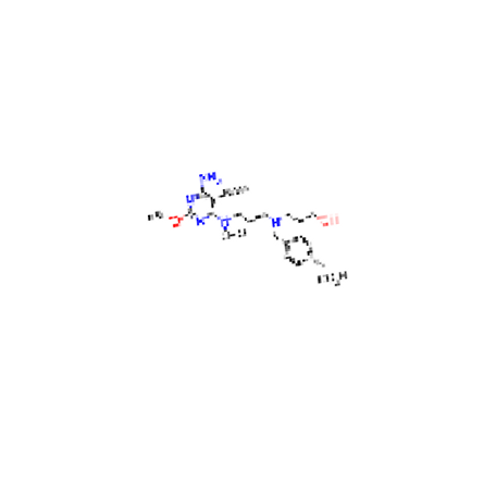 CCCCOc1nc(N)c(NC)c(N(C=O)CCCN(CCCO)Cc2ccc(CC(=O)O)cc2)n1